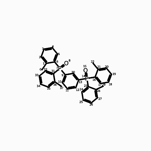 Cc1ccccc1P(=O)(c1cccc(P(=O)(c2ccccc2C)c2ccccc2C)c1)c1ccccc1C